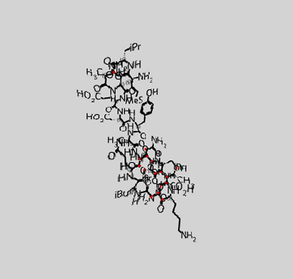 CC[C@H](C)[C@H](NC(=O)CNC(=O)[C@H](CCCCN)NC(=O)[C@@H](NC(=O)[C@H](CC(C)C)NC(=O)[C@H](CO)NC(=O)[C@H](C)NC(=O)[C@H](Cc1ccc(O)cc1)NC(=O)[C@H](CC(=O)O)NC(=O)[C@H](CCC(=O)O)NC(=O)[C@H](CC(N)=O)NC(=O)[C@H](C)NC(=O)[C@H](CC(C)C)NC(=O)[C@@H](N)CCSC)[C@@H](C)O)C(=O)N[C@@H](CCC(N)=O)C(=O)N[C@@H](CC(N)=O)C(=O)N[C@@H](CC(C)C)C(=O)N[C@@H](CC(N)=O)C(=O)O